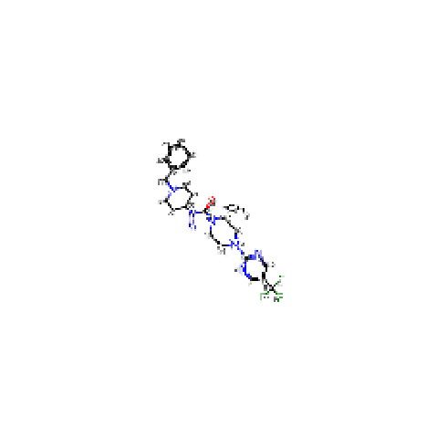 C[C@@H]1CN(c2ncc(C(F)(F)F)cn2)CCN1C(=O)NC1CCN(Cc2ccccc2)CC1